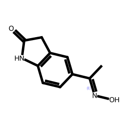 C/C(=N\O)c1ccc2c(c1)CC(=O)N2